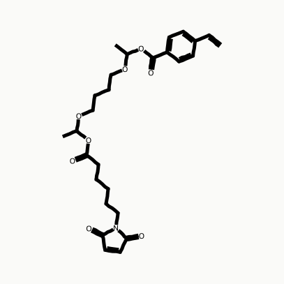 C=Cc1ccc(C(=O)OC(C)OCCCCOC(C)OC(=O)CCCCCN2C(=O)C=CC2=O)cc1